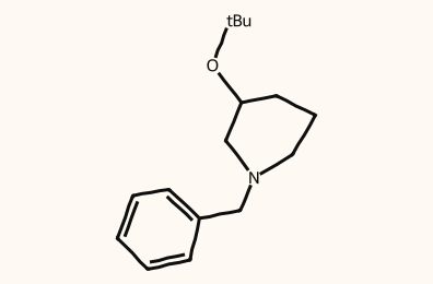 CC(C)(C)OC1CCCN(Cc2ccccc2)C1